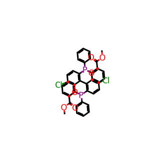 COC(=O)COc1c(Cl)ccc(P(c2ccccc2)c2ccccc2)c1-c1c(P(c2ccccc2)c2ccccc2)ccc(Cl)c1OCC(=O)OC